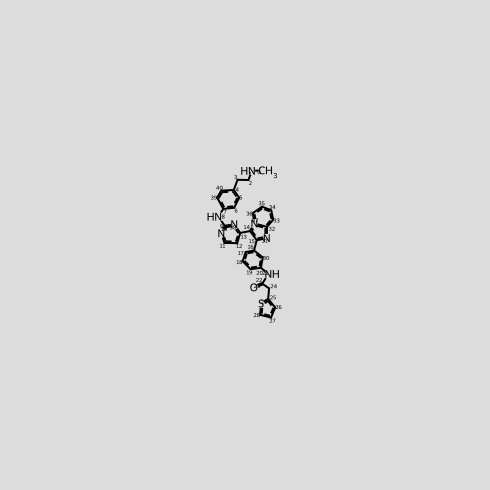 CNCCc1ccc(Nc2nccc(-c3c(-c4cccc(NC(=O)Cc5cccs5)c4)nc4ccccn34)n2)cc1